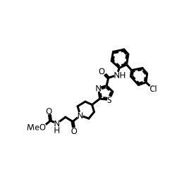 COC(=O)NCC(=O)N1CCC(c2nc(C(=O)Nc3ccccc3-c3ccc(Cl)cc3)cs2)CC1